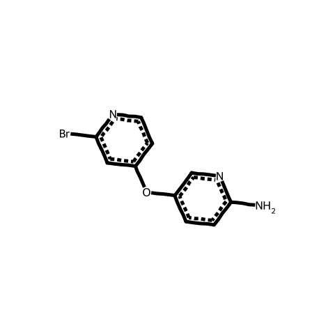 Nc1ccc(Oc2ccnc(Br)c2)cn1